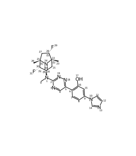 CN(c1ncc(-c2ccc(-n3ccnc3)cc2O)nn1)[C@@H]1C[C@]2(C)N[C@@](C)(C[C@@H]2F)[C@H]1F